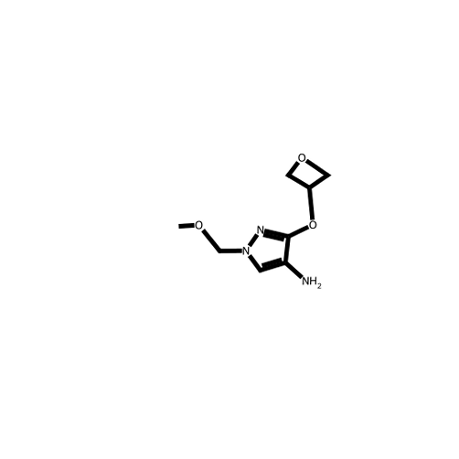 COCn1cc(N)c(OC2COC2)n1